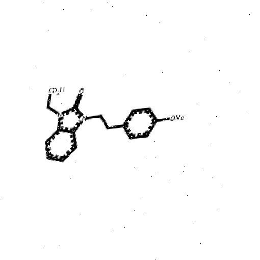 COc1ccc(CCn2c(=O)n(CC(=O)O)c3ccccc32)cc1